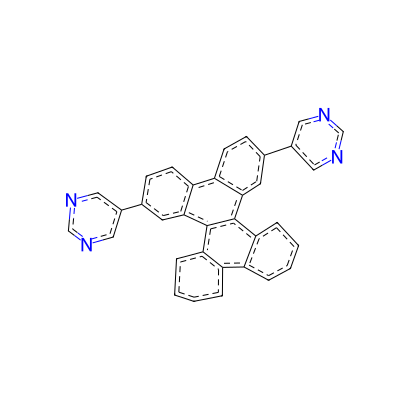 c1ccc2c(c1)c1ccccc1c1c3cc(-c4cncnc4)ccc3c3ccc(-c4cncnc4)cc3c21